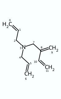 C=CCN(CC=C)CC(=C)C=C